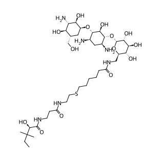 CCC(C)(C)[C@@H](O)C(=O)NCCC(=O)NCCSCCCCCC(=O)NC[C@H]1O[C@H](O[C@H]2[C@H](O)[C@@H](O[C@H]3C[C@H](CO)[C@@H](O)[C@H](N)[C@H]3O)[C@H](N)C[C@@H]2N)[C@H](O)[C@@H](O)[C@@H]1O